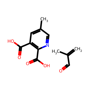 C=C(C)C=O.Cc1cnc(C(=O)O)c(C(=O)O)c1